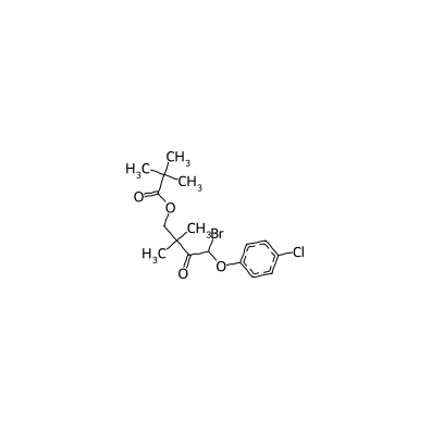 CC(C)(C)C(=O)OCC(C)(C)C(=O)C(Br)Oc1ccc(Cl)cc1